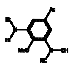 CCN(CC)c1cc(C(C)=O)cc(N(O)C#N)c1OC